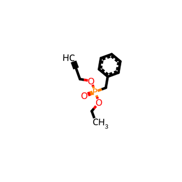 C#CCOP(=O)(Cc1ccccc1)OCC